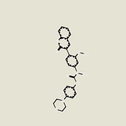 COc1cc(N(S)C(=O)Nc2ccc(N3CCOCC3)cc2)ccc1-c1cc2ccccc2oc1=O